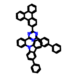 c1ccc(-c2ccc(-c3nc(-c4ccc5c6ccccc6c6ccccc6c5c4)nc(-c4ccccc4-n4c5ccccc5c5cc(-c6ccccc6)ccc54)n3)cc2)cc1